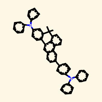 CC1(C)c2cc(N(c3ccccc3)c3ccccc3)ccc2-c2cc3ccc(-c4ccc(N(c5ccccc5)c5ccccc5)cc4)cc3c3cccc1c23